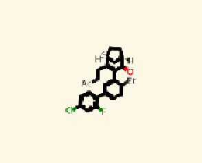 CCC1CC=C(c2ccc(Cl)cc2F)C=C1C1=C(CCC(C)=O)[C@H]2CC[C@H](C2)C1=O